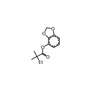 CCC(C)(C)C(=O)Oc1cccc2c1OCO2